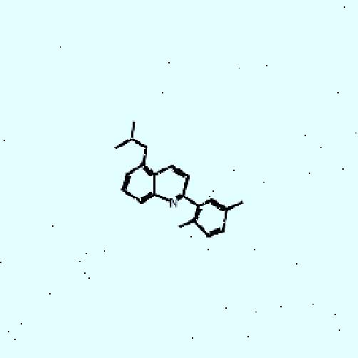 Cc1ccc(C)c(-c2ccc3c(CC(C)C)cccc3n2)c1